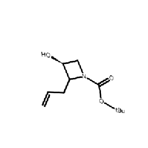 C=CCC1[C@@H](O)CN1C(=O)OC(C)(C)C